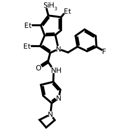 CCc1cc2c(c(CC)c1[SiH3])c(CC)c(C(=O)Nc1ccc(N3CCC3)nc1)n2Cc1cccc(F)c1